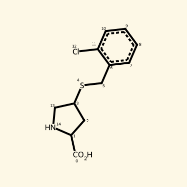 O=C(O)C1CC(SCc2ccccc2Cl)CN1